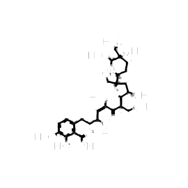 CCC(C(=O)C(C)=CC(C)CCc1ccc(C)c(O)c1C(=O)O)C1OC(CC)(C2CCC(O)(CC)C(C)O2)CC1C